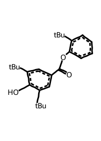 CC(C)(C)c1ccccc1OC(=O)c1cc(C(C)(C)C)c(O)c(C(C)(C)C)c1